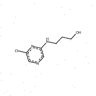 OCCCNc1cncc(Cl)n1